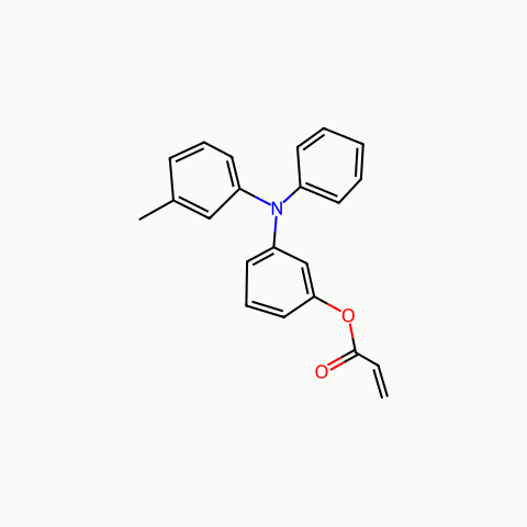 C=CC(=O)Oc1cccc(N(c2ccccc2)c2cccc(C)c2)c1